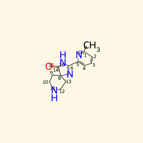 Cc1cccc(C2=NC3(CCNCC3)C(=O)N2)n1